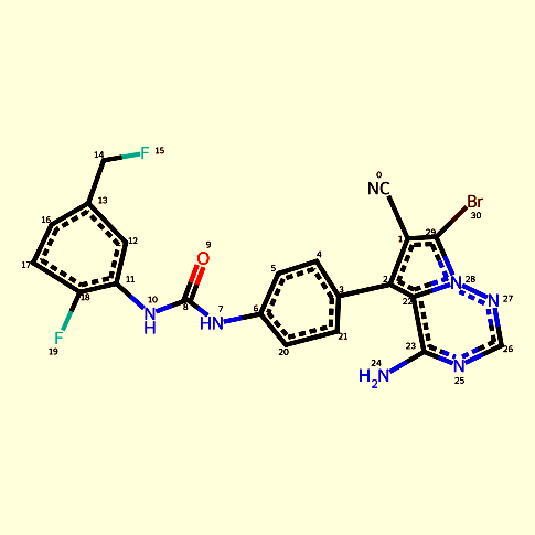 N#Cc1c(-c2ccc(NC(=O)Nc3cc(CF)ccc3F)cc2)c2c(N)ncnn2c1Br